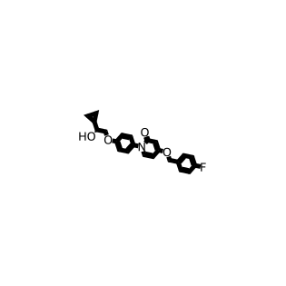 O=c1cc(OCc2ccc(F)cc2)ccn1-c1ccc(OC[C@H](O)C2CC2)cc1